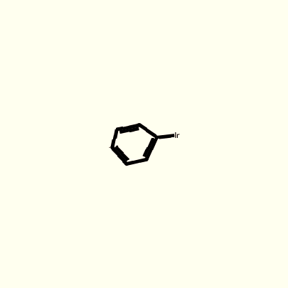 [Ir][c]1cc[c]cc1